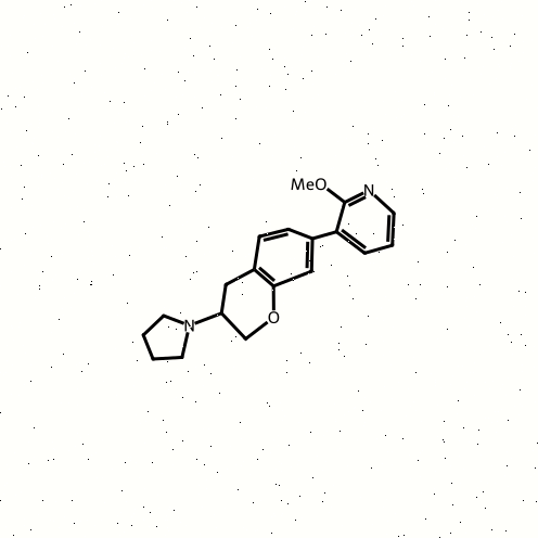 COc1ncccc1-c1ccc2c(c1)OCC(N1CCCC1)C2